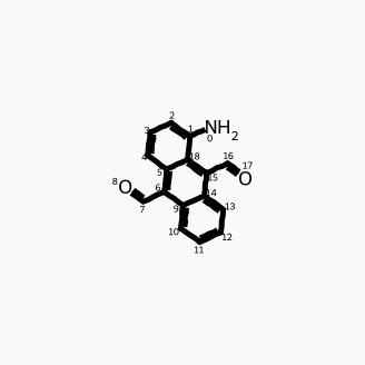 Nc1cccc2c(C=O)c3ccccc3c(C=O)c12